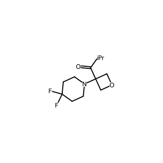 CC(C)C(=O)C1(N2CCC(F)(F)CC2)COC1